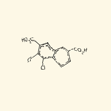 O=C(O)c1ccc2c(Cl)c(Cl)c(C(=O)O)cc2c1